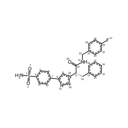 NS(=O)(=O)c1ccc(-c2cn([C@@H](Cc3ccccc3)C(=O)NCc3ccc(F)cc3)nn2)cc1